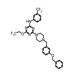 FC(F)(F)COc1nc(Nc2cccc(C(F)(F)F)c2)nc(N2CCN(Cc3cccc(OCc4ccccc4)c3)CC2)n1